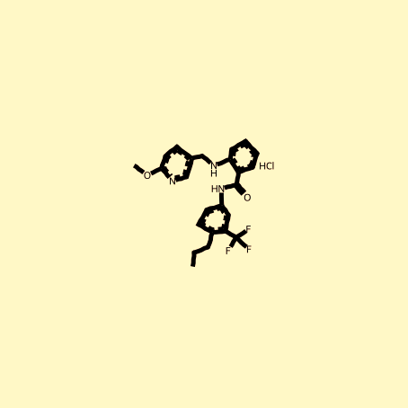 CCCc1ccc(NC(=O)c2ccccc2NCc2ccc(OC)nc2)cc1C(F)(F)F.Cl